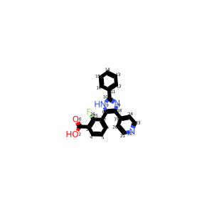 O=C(O)c1cccc(-c2[nH]c(-c3ccccc3)nc2-c2ccncc2)c1F